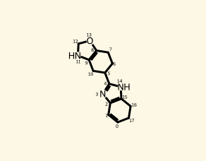 C1=Cc2nc(C3CCC4=C(C3)NCO4)[nH]c2CC1